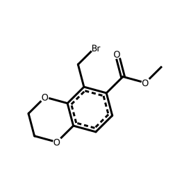 COC(=O)c1ccc2c(c1CBr)OCCO2